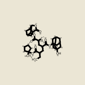 CCC(CC(CC(C)C(=O)OC1C2CC3C(=O)OC1C3C2)C(=O)OC12CC3CC(CC(O)(C3)C1)C2)C(=O)OC1(C)CCCC1